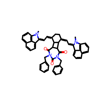 Cn1/c(=C\C=C2\CC/C(=C/C=c3/c4cccc5cccc(c54)n3C)C3C4C(=O)N(Cc5ccccc5)C(=O)N(Cc5ccccc5)C(=O)C4C23)c2cccc3cccc1c32